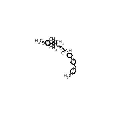 COc1cc(C)c(S(=O)(=O)N(C)CCOCC(=O)N[C@H]2CC[C@@H](N3CCC(CN4CCN(C)CC4)CC3)CC2)c(C)c1